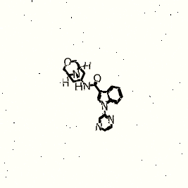 CN1[C@@H]2COC[C@H]1C[C@@H](NC(=O)c1cn(-c3cnccn3)c3ccccc13)C2